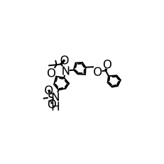 CC1(C)Oc2cc(NS(C)(=O)=O)ccc2N(c2ccc(COC(=O)c3ccccc3)cc2)C1=O